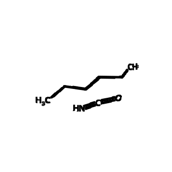 N=C=O.[CH]CCCCC